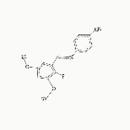 CCOc1cc(C=Nc2ccc(C#N)cc2)c(F)c(OC(C)C)c1